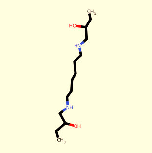 CCC(O)CNCCCCCCNCC(O)CC